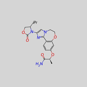 CC(C)C1COC(=O)N1c1cn2c(n1)-c1ccc(O[C@@H](C)C(N)=O)cc1OCC2